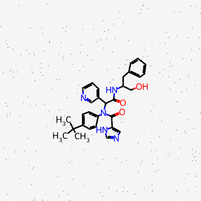 CC(C)(C)c1ccc(N(C(=O)c2cnc[nH]2)C(C(=O)NC(CO)Cc2ccccc2)c2cccnc2)cc1